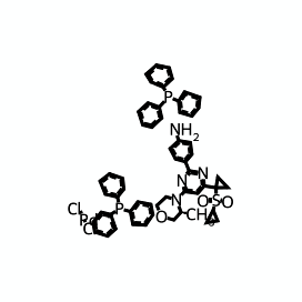 C[C@H]1COCCN1c1cc(C2(S(=O)(=O)C3CC3)CC2)nc(-c2ccc(N)cc2)n1.[Cl][Pd][Cl].c1ccc(P(c2ccccc2)c2ccccc2)cc1.c1ccc(P(c2ccccc2)c2ccccc2)cc1